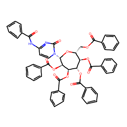 O=C(Nc1ccn([C@@H]2O[C@H](COC(=O)c3ccccc3)[C@@H](OC(=O)c3ccccc3)[C@H](OC(=O)c3ccccc3)[C@@H](OC(=O)c3ccccc3)[C@H]2OC(=O)c2ccccc2)c(=O)n1)c1ccccc1